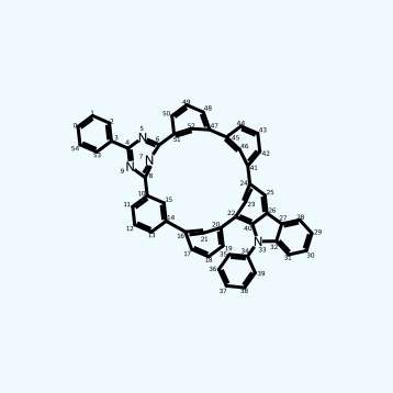 c1ccc(-c2nc3nc(n2)c2cccc(c2)c2cccc(c2)c2cc(cc4c5ccccc5n(-c5ccccc5)c24)c2cccc(c2)c2cccc3c2)cc1